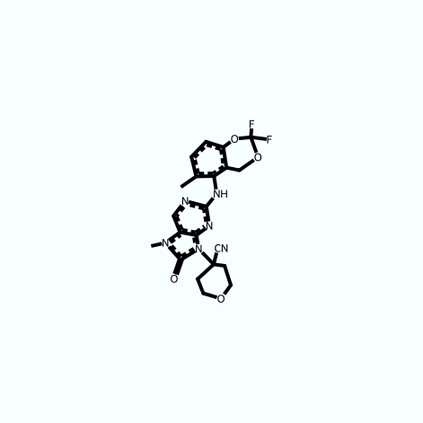 Cc1ccc2c(c1Nc1ncc3c(n1)n(C1(C#N)CCOCC1)c(=O)n3C)COC(F)(F)O2